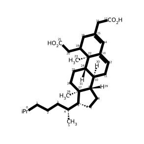 CC(C)CCC[C@@H](C)[C@H]1CC[C@H]2[C@@H]3CC=C4C=C(CC(=O)O)CC(CC(=O)O)[C@]4(C)[C@H]3CC[C@]12C